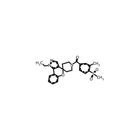 CCn1ncc2c1-c1ccccc1OC21CCN(C(=O)c2ccc(S(C)(=O)=O)c(C)c2)CC1